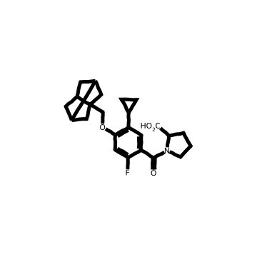 O=C(O)C1CCCN1C(=O)c1cc(C2CC2)c(OCC23CC4CC2CC4C3)cc1F